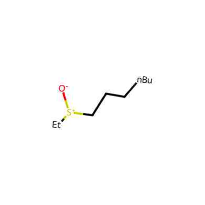 CCCCCCC[S+]([O-])CC